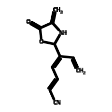 C=C/C(=C\C=C\C#N)C1NC(=C)C(=O)O1